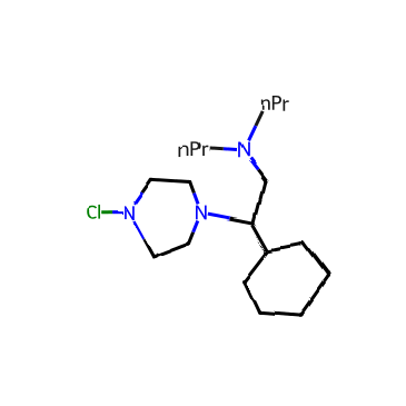 CCCN(CCC)CC(C1CCCCC1)N1CCN(Cl)CC1